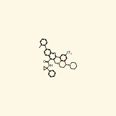 Cc1ccccc1-c1ccc2c(C(=O)NC3(c4ccccc4)CC3)c(CN3CCC(N4CCCCC4)CC3)c(-c3cccc(C(F)(F)F)c3)nc2c1